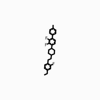 CCc1ccc(CCC2CCC(c3ccc(-c4ccc(C)cc4)c(F)c3F)CC2)c(F)c1